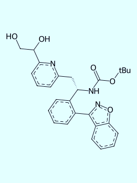 CC(C)(C)OC(=O)N[C@@H](Cc1cccc(C(O)CO)n1)c1ccccc1-c1noc2ccccc12